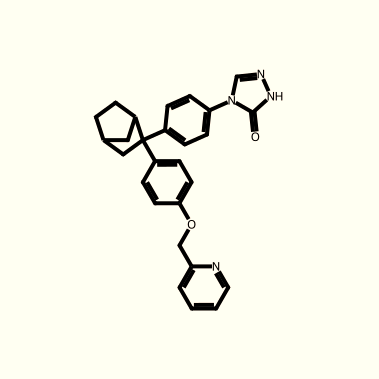 O=c1[nH]ncn1-c1ccc(C2(c3ccc(OCc4ccccn4)cc3)CC3CCC2C3)cc1